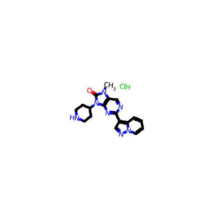 Cl.Cn1c(=O)n(C2CCNCC2)c2nc(-c3cnn4ccccc34)ncc21